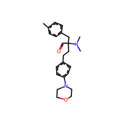 Cc1ccc(CC(C=O)(CCc2ccc(N3CCOCC3)cc2)N(C)C)cc1